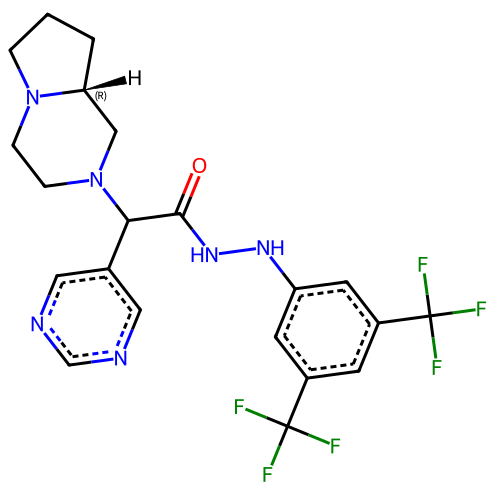 O=C(NNc1cc(C(F)(F)F)cc(C(F)(F)F)c1)C(c1cncnc1)N1CCN2CCC[C@@H]2C1